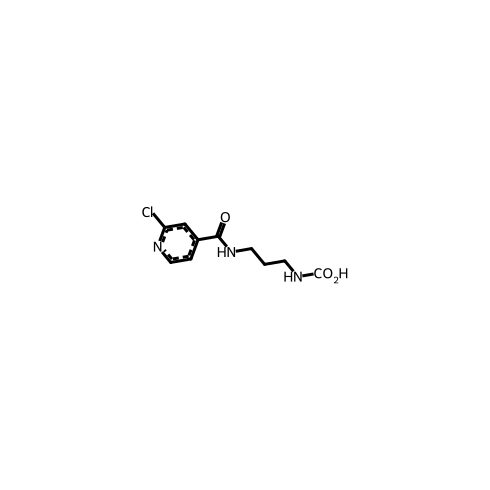 O=C(O)NCCCNC(=O)c1ccnc(Cl)c1